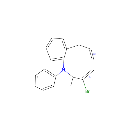 CC1/C(Br)=C\C=C/Cc2ccccc2N1c1ccccc1